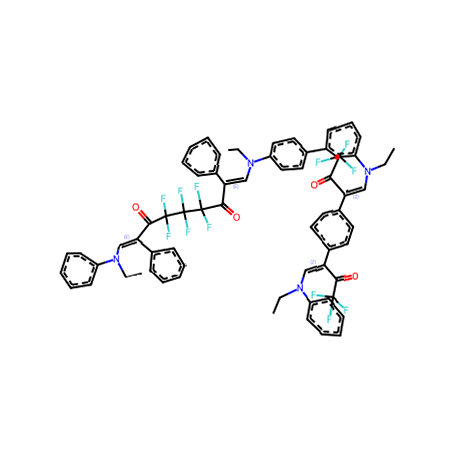 CCN(/C=C(\C(=O)C(F)(F)F)c1ccc(/C(=C/N(CC)c2cccc(-c3ccc(N(/C=C(/C(=O)C(F)(F)C(F)(F)C(F)(F)C(=O)/C(=C/N(CC)c4ccccc4)c4ccccc4)c4ccccc4)CC)cc3)c2)C(=O)C(F)(F)F)cc1)c1ccccc1